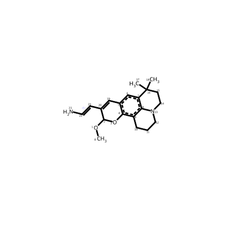 COC1Oc2c(cc3c4c2CCCN4CCC3(C)C)C=C1/C=C/N